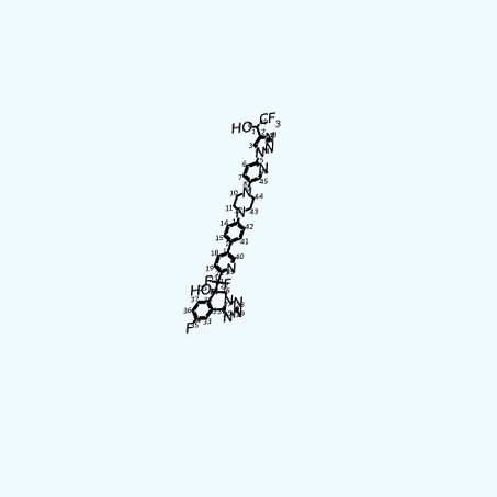 OC(c1cn(-c2ccc(N3CCN(c4ccc(-c5ccc(C(F)(F)[C@]6(O)Cn7nnnc7-c7cc(F)ccc76)nc5)cc4)CC3)cn2)nn1)C(F)(F)F